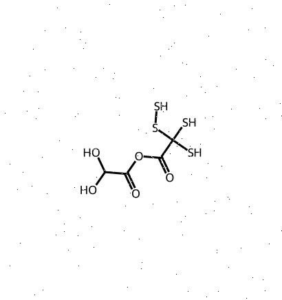 O=C(OC(=O)C(S)(S)SS)C(O)O